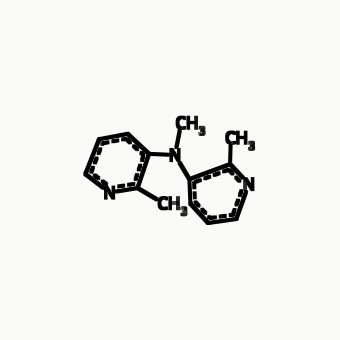 Cc1ncccc1N(C)c1cccnc1C